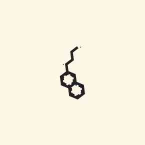 [CH2]CC[CH]c1ccc2ccccc2c1